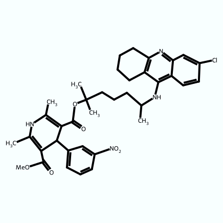 COC(=O)C1=C(C)NC(C)=C(C(=O)OC(C)(C)CCCC(C)Nc2c3c(nc4cc(Cl)ccc24)CCCC3)C1c1cccc([N+](=O)[O-])c1